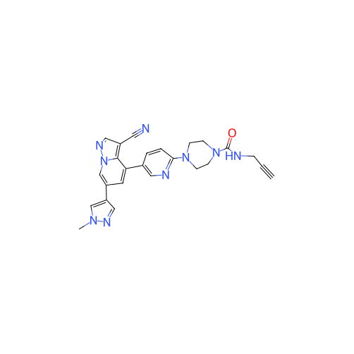 C#CCNC(=O)N1CCN(c2ccc(-c3cc(-c4cnn(C)c4)cn4ncc(C#N)c34)cn2)CC1